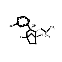 CN(C)C[C@@H]1[C@@H]2CC[C@@H](C2)C[C@@]1(O)c1cccc(O)c1